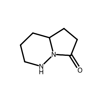 O=C1CCC2CCCNN12